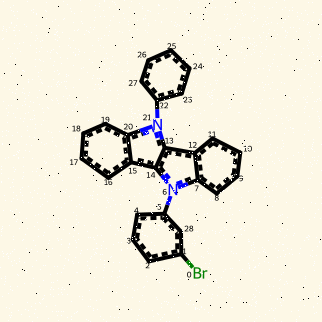 Brc1cccc(-n2c3ccccc3c3c2c2ccccc2n3-c2ccccc2)c1